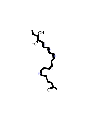 CCC(O)C(O)/C=C/C=C/C=C\C/C=C\C/C=C\CCCC(C)=O